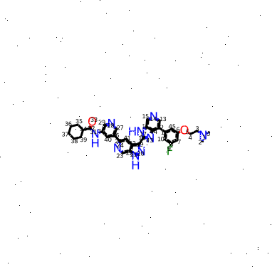 CN(C)CCOc1cc(F)cc(-c2cncc3[nH]c(-c4n[nH]c5cnc(-c6cncc(NC(=O)C7CCCCC7)c6)cc45)nc23)c1